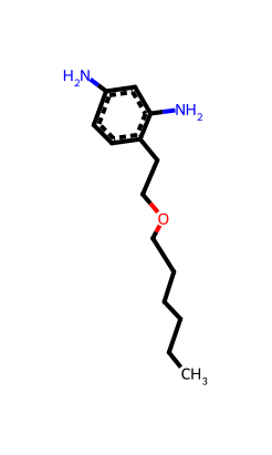 CCCCCCOCCc1ccc(N)cc1N